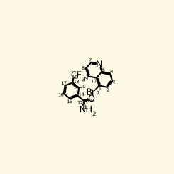 Brc1cccc2ncccc12.NC(=O)c1cccc(C(F)(F)F)c1